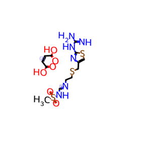 CS(=O)(=O)N/C=N/CCSCc1csc(NC(=N)N)n1.O=C(O)/C=C\C(=O)O